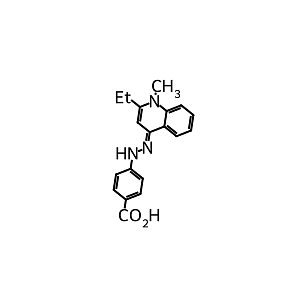 CCc1cc(=NNc2ccc(C(=O)O)cc2)c2ccccc2n1C